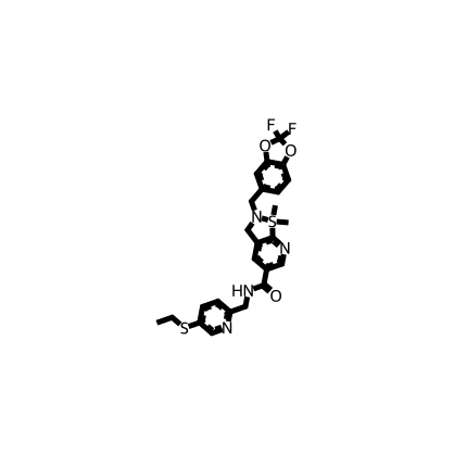 CCSc1ccc(CNC(=O)c2cnc3c(c2)CN(Cc2ccc4c(c2)OC(F)(F)O4)S3(C)C)nc1